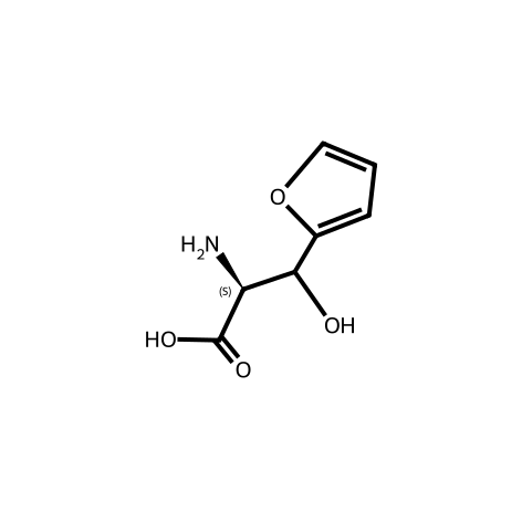 N[C@H](C(=O)O)C(O)c1ccco1